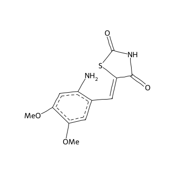 COc1cc(N)c(/C=C2\SC(=O)NC2=O)cc1OC